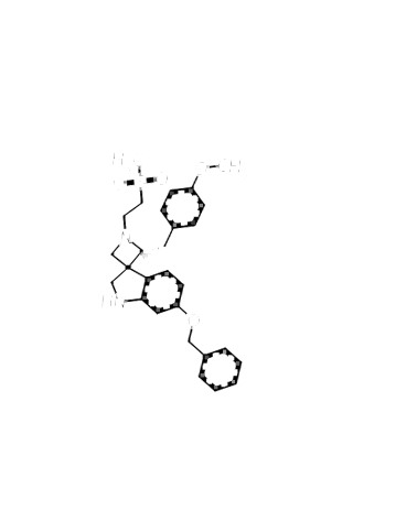 COc1ccc(C[C@H]2N(CCS(C)(=O)=O)CC23CNc2cc(OCc4ccccc4)ccc23)cc1